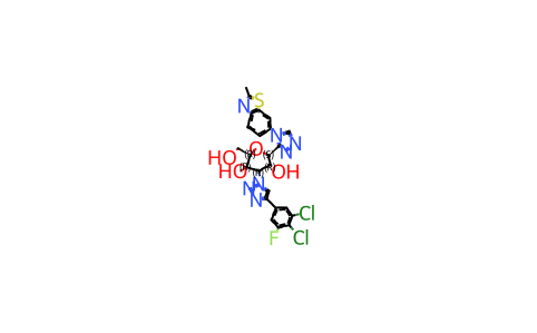 Cc1nc2ccc(-n3cnnc3[C@@H]3O[C@H](CO)[C@H](O)[C@H](n4cc(-c5cc(F)c(Cl)c(Cl)c5)nn4)[C@H]3O)cc2s1